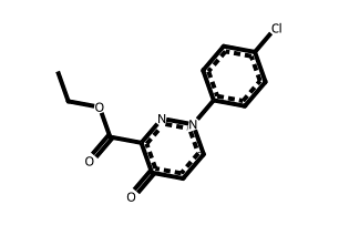 CCOC(=O)c1nn(-c2ccc(Cl)cc2)ccc1=O